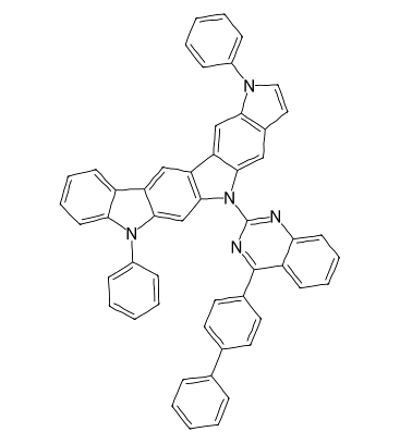 c1ccc(-c2ccc(-c3nc(-n4c5cc6ccn(-c7ccccc7)c6cc5c5cc6c7ccccc7n(-c7ccccc7)c6cc54)nc4ccccc34)cc2)cc1